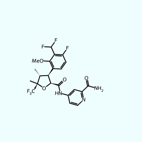 COc1c([C@H]2[C@@H](C(=O)Nc3ccnc(C(N)=O)c3)O[C@@](C)(C(F)(F)F)[C@@H]2C)ccc(F)c1C(F)F